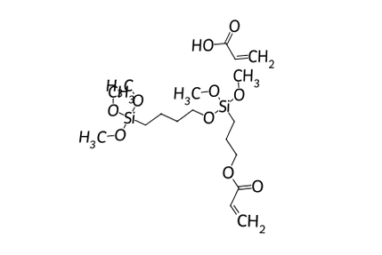 C=CC(=O)O.C=CC(=O)OCCC[Si](OC)(OC)OCCCC[Si](OC)(OC)OC